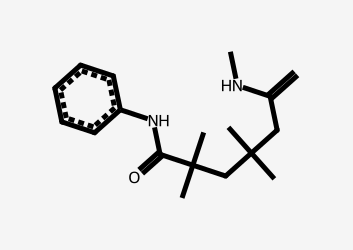 C=C(CC(C)(C)CC(C)(C)C(=O)Nc1ccccc1)NC